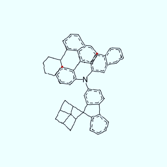 c1ccc(N(c2ccc3c(c2)C2(c4ccccc4-3)C3CC4CC5CC2C453)c2ccc3ccccc3c2)c(-c2cccc3cccc(C4CCCCC4)c23)c1